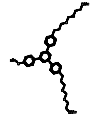 CCCCOc1ccc(-c2cc(-c3ccc(CCCOCOCCOC)cc3)cc(-c3ccc(CCCOCOCCOC)cc3)c2)cc1